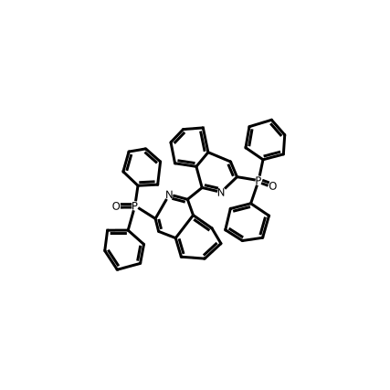 O=P(c1ccccc1)(c1ccccc1)c1cc2ccccc2c(-c2nc(P(=O)(c3ccccc3)c3ccccc3)cc3ccccc23)n1